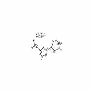 Cc1cc(N(C)C)cc(C2CCNCC2)n1.Cl.Cl